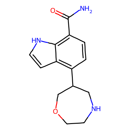 NC(=O)c1ccc(C2CNCCOC2)c2cc[nH]c12